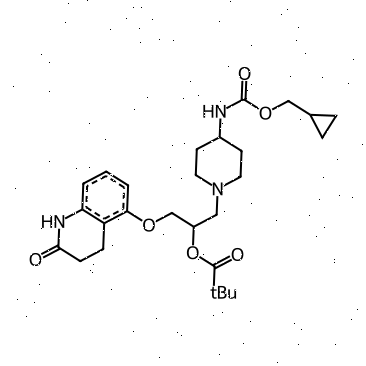 CC(C)(C)C(=O)OC(COc1cccc2c1CCC(=O)N2)CN1CCC(NC(=O)OCC2CC2)CC1